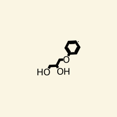 OCC(O)COc1cc[c]cc1